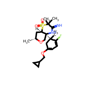 C[C@@H]1C[C@@H]2[C@](C3(C)CC(OCC4CC4)=CC=C3F)(CO1)NC(=N)C(C)(C)S2(=O)=O